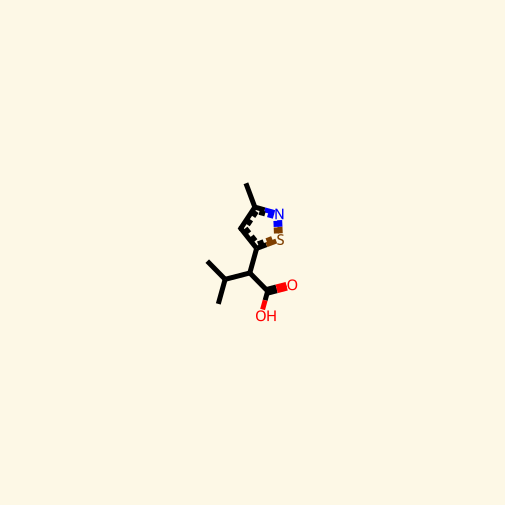 Cc1cc(C(C(=O)O)C(C)C)sn1